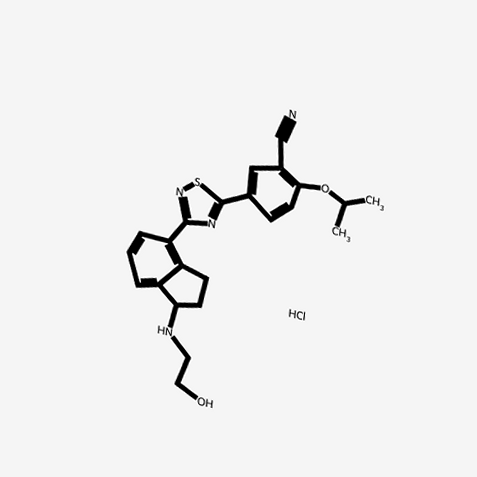 CC(C)Oc1ccc(-c2nc(-c3cccc4c3CCC4NCCO)ns2)cc1C#N.Cl